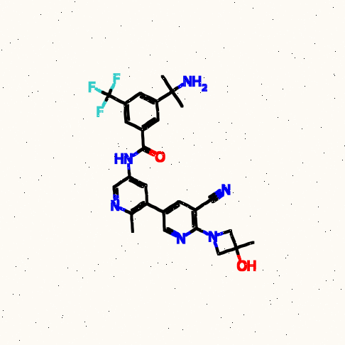 Cc1ncc(NC(=O)c2cc(C(C)(C)N)cc(C(F)(F)F)c2)cc1-c1cnc(N2CC(C)(O)C2)c(C#N)c1